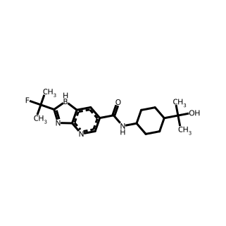 CC(C)(F)C1=Nc2ncc(C(=O)NC3CCC(C(C)(C)O)CC3)cc2B1